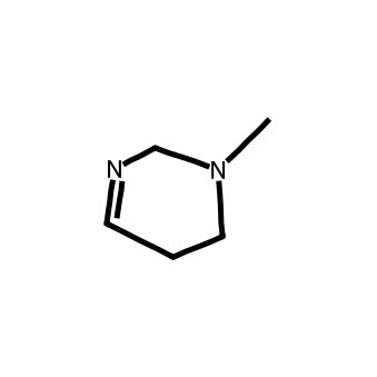 CN1CCC=NC1